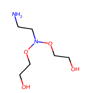 NCCN(OCCO)OCCO